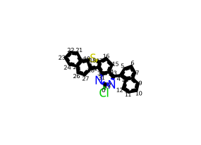 Clc1nc(-c2cccc3ccccc23)c2ccc3sc4c5ccccc5ccc4c3c2n1